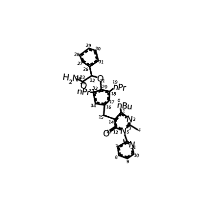 CCCCc1nc(C)n(-c2ccccn2)c(=O)c1Cc1cc(CCC)c(OC(C(N)=O)c2ccccc2)c(CCC)c1